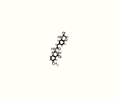 Cc1ccc2nc(NC(=O)Cc3ccc4c(c3)NC(=O)CO4)[nH]c(=O)c2c1